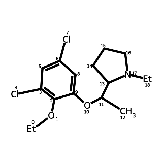 CCOc1c(Cl)cc(Cl)cc1OC(C)C1CCCN1CC